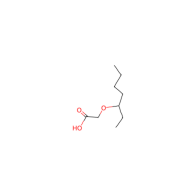 CCCCC(CC)OCC(=O)O